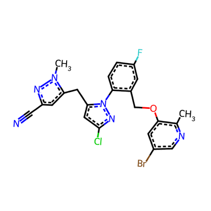 Cc1ncc(Br)cc1OCc1cc(F)ccc1-n1nc(Cl)cc1Cc1cc(C#N)nn1C